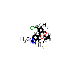 Cc1ccc(C(OC(=O)C2(C)CC2)c2ccc3c(nnn3C)c2C)cc1CCl